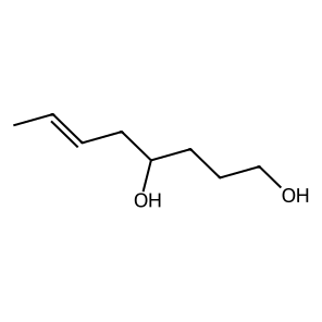 CC=CCC(O)CCCO